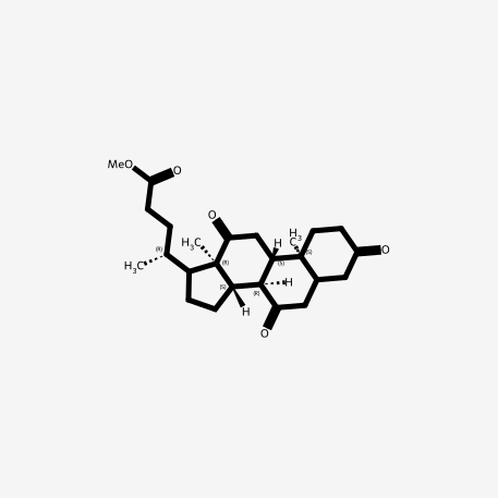 COC(=O)CC[C@@H](C)C1CC[C@H]2[C@@H]3C(=O)CC4CC(=O)CC[C@]4(C)[C@H]3CC(=O)[C@]12C